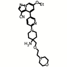 CCOc1cc(-c2ccc(N3CCC(N)(COCCN4CCOCC4)CC3)nc2)c2c(C#N)cnn2c1